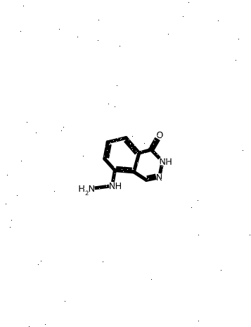 NNc1cccc2c(=O)[nH]ncc12